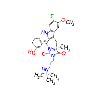 COc1cc2c3c([nH]c2cc1F)[C@@H](C1=CCCC(O)=C1)N1C(=O)N(CCCNC(C)(C)C)C(=O)[C@]1(C)C3